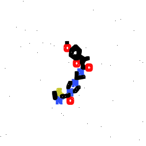 COc1ccc2c(C)c(C(=O)N3CC(N4CCN(C(=O)c5nccs5)CC4)C3)oc2c1